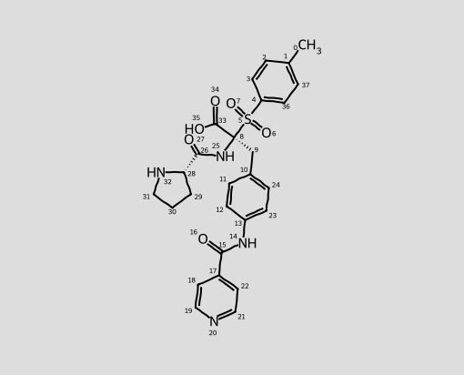 Cc1ccc(S(=O)(=O)[C@@](Cc2ccc(NC(=O)c3ccncc3)cc2)(NC(=O)[C@@H]2CCCN2)C(=O)O)cc1